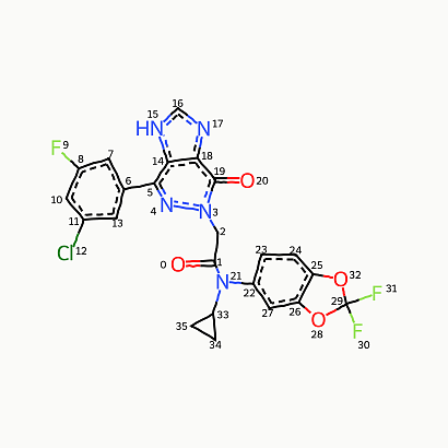 O=C(Cn1nc(-c2cc(F)cc(Cl)c2)c2[nH]cnc2c1=O)N(c1ccc2c(c1)OC(F)(F)O2)C1CC1